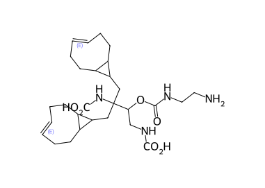 NCCNC(=O)OC(CNC(=O)O)C(CC1C2CC/C=C/CCC21)(CC1C2CC/C=C/CCC21)NC(=O)O